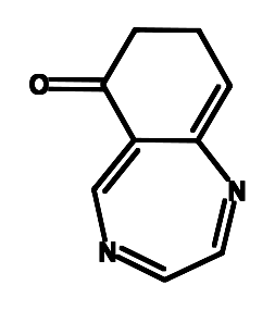 O=C1CCC=C2N=CC=NC=C12